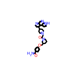 NC(=O)c1ccc(OCC2CCCN(C(=O)CN3CCC(c4ccnc5cnc6[nH]ccc6c45)CC3)C2)cc1